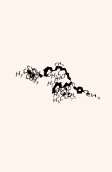 C=C(CC(O)/C=C/C[C@H](OCc1ccc(OC)cc1)[C@H](/C=C/[C@@H]1CC(C)=CCO1)O[Si](C)(C)C(C)(C)C)C[C@H](C)C[C@@H]1CC=C[C@@H](CCO[Si](C)(C)C(C)(C)C)O1